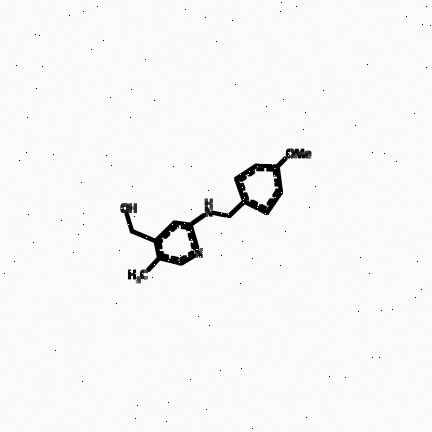 COc1ccc(CNc2cc(CO)c(C)cn2)cc1